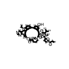 C=CC(=O)N1CC[C@@H](C(=O)N(C)C(C(=O)N[C@H]2Cc3cc(O)cc(c3)-c3ccc4c(c3)c(c(-c3cncnc3)n4CC)CC(C)(C)COC(=O)[C@@H]3CCCN(N3)C2=O)C(C)C)O1